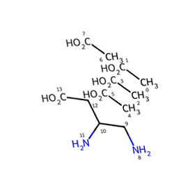 CC(=O)O.CC(=O)O.CC(=O)O.CC(=O)O.NCC(N)CC(=O)O